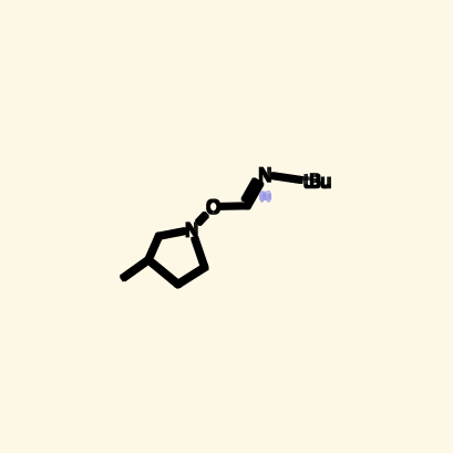 CC1CCN(O/C=N/C(C)(C)C)C1